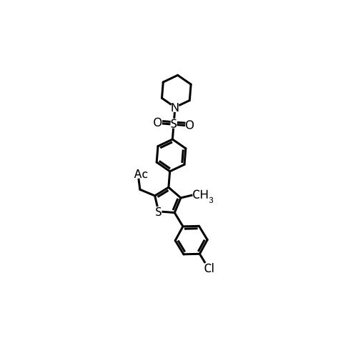 CC(=O)Cc1sc(-c2ccc(Cl)cc2)c(C)c1-c1ccc(S(=O)(=O)N2CCCCC2)cc1